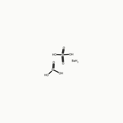 O=S(=O)(O)O.O=[Si](O)O.[BaH2]